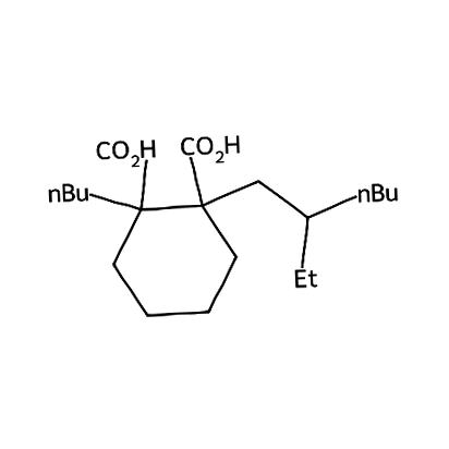 CCCCC(CC)CC1(C(=O)O)CCCCC1(CCCC)C(=O)O